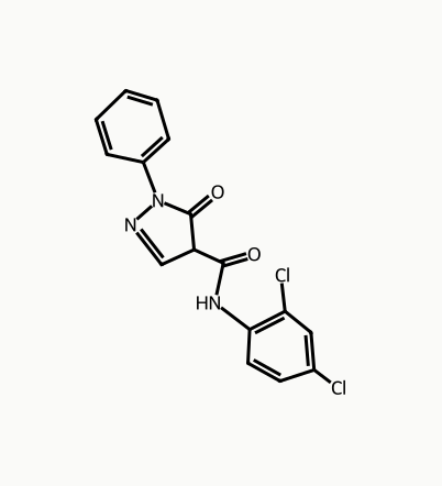 O=C(Nc1ccc(Cl)cc1Cl)C1C=NN(c2ccccc2)C1=O